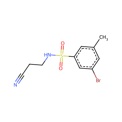 Cc1cc(Br)cc(S(=O)(=O)NCCC#N)c1